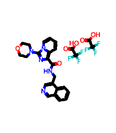 O=C(NCc1cncc2ccccc12)c1nc(N2CCOCC2)n2ccccc12.O=C(O)C(F)(F)F.O=C(O)C(F)(F)F